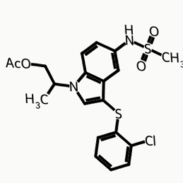 CC(=O)OCC(C)n1cc(Sc2ccccc2Cl)c2cc(NS(C)(=O)=O)ccc21